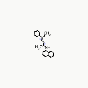 C=C/C(=C\C=C(/C)Nc1cccc2ccccc12)c1ccccc1